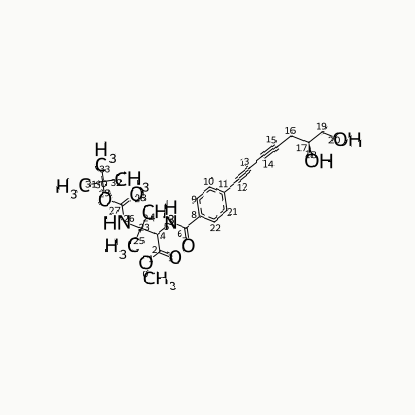 COC(=O)C(NC(=O)c1ccc(C#CC#CC[C@H](O)CO)cc1)C(C)(C)NC(=O)OC(C)(C)C